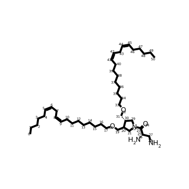 CCCCC/C=C\C/C=C\CCCCCCCCOCC1CN(C(=O)[C@@H](N)CN)C[C@H]1COCCCCCCCC/C=C\C/C=C\CCCCC